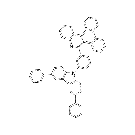 c1ccc(-c2ccc3c(c2)c2cc(-c4ccccc4)ccc2n3-c2cccc(-c3nc4ccccc4c4c5ccccc5c5ccccc5c34)c2)cc1